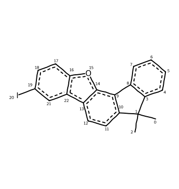 CC1(C)c2ccccc2-c2c1ccc1c2oc2ccc(I)cc21